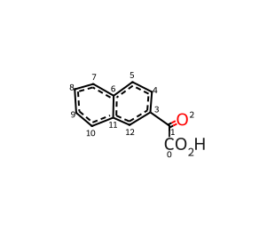 O=C(O)C(=O)c1ccc2ccccc2c1